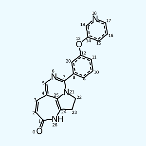 O=C1C=CC2=CN=C(c3cccc(Oc4cccnc4)c3)N3CCC(=C23)N1